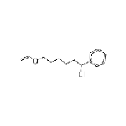 C=COCCCCCC(Cl)c1ccccc1